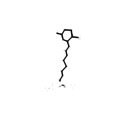 CO[SiH](CCCCCCCCC1CC(C)CCC1C(C)C)OC